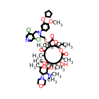 CC[C@H]1OC(=O)[C@H](C)[C@@H](O)[C@H](C)[C@@H](OC2O[C@H](C)C[C@@H](N3CCOCC3)[C@@H]2N(C)C)[C@](C)(OC)C[C@@H](C)C(=O)[C@H](C)[C@H]2[C@H](SCCN(Cc3c(Cl)cncc3Cl)c3ccc(OC)c(OC4CCCC4)c3)C(=O)O[C@@]21C